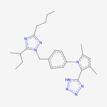 CCCCc1nc(C(C)CC)n(Cc2ccc(-n3c(C)cc(C)c3-c3nnn[nH]3)cc2)n1